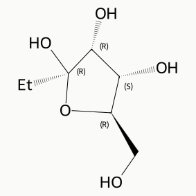 CC[C@@]1(O)O[C@H](CO)[C@@H](O)[C@H]1O